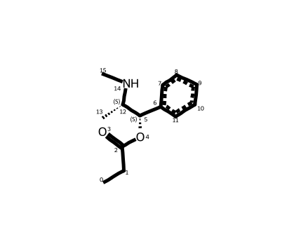 CCC(=O)O[C@@H](c1ccccc1)[C@H](C)NC